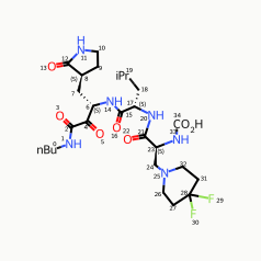 CCCCNC(=O)C(=O)[C@H](C[C@@H]1CCNC1=O)NC(=O)[C@H](CC(C)C)NC(=O)[C@H](CN1CCC(F)(F)CC1)NC(=O)O